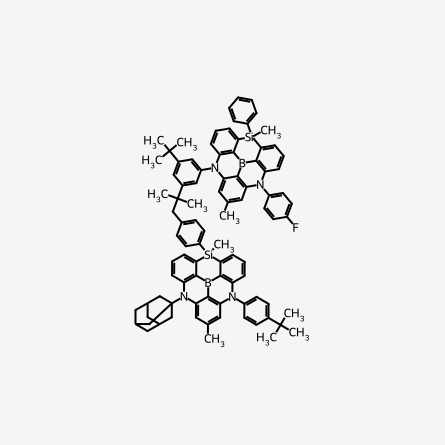 Cc1cc2c3c(c1)N(c1cc(C(C)(C)C)cc(C(C)(C)Cc4ccc([Si]5(C)c6cccc7c6B6c8c(cc(C)cc8N(C89CC%10CC(CC(C%10)C8)C9)c8cccc5c86)N7c5ccc(C(C)(C)C)cc5)cc4)c1)c1cccc4c1B3c1c(cccc1[Si]4(C)c1ccccc1)N2c1ccc(F)cc1